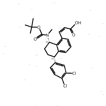 CN(C(=O)OC(C)(C)C)[C@H]1CC[C@@H](c2ccc(Cl)c(Cl)c2)c2cccc(/C=C\C(=O)O)c21